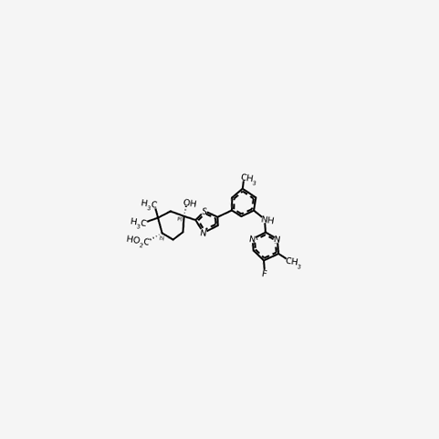 Cc1cc(Nc2ncc(F)c(C)n2)cc(-c2cnc([C@@]3(O)CC[C@H](C(=O)O)C(C)(C)C3)s2)c1